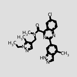 CCn1ncc(CN(C)C(=O)c2nc(-c3cc(C)c4cn[nH]c4c3)nc3ccc(Cl)cc23)c1C